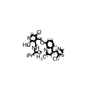 Cc1cc(-c2ncsc2Cl)c2cccc(OCc3c(Cl)cnc(O)c3CNC(=O)C(C)C)c2n1